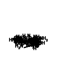 CCCCCCCCCCCCCC(=O)NCC(=O)NC(CO)C(=O)NC(CO)C(=O)NC(CCCCN)C(=O)NC(CO)C(=O)N1CCCC1C(=O)NC(CO)C(=O)NC(CCCCN)C(=O)NC(CCCCN)C(=O)NC(CCCCN)C(=O)NC(CCCCN)C(=O)NC(CCCCN)C(=O)NC(CCCCN)C(=O)N1CCCC1C(=O)NCC(=O)NC(CC(=O)O)C(=O)N(c1ccc[nH]c1=S)[C@H](CS)C(N)=O